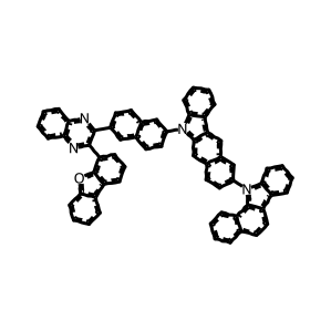 c1ccc2c(c1)ccc1c3ccccc3n(-c3ccc4cc5c(cc4c3)c3ccccc3n5-c3ccc4cc(-c5nc6ccccc6nc5-c5cccc6c5oc5ccccc56)ccc4c3)c21